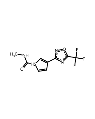 CNC(=O)[SH]1C=CC(c2noc(C(F)(F)F)n2)=C1